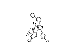 CN1CCN(C(=O)N2C(c3cccc(-c4ccccc4)c3)=NC(c3ccc(Cl)cc3)C2c2ccc(Cl)cc2)CC1